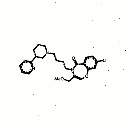 COCC1=COc2cc(Cl)ccc2C(=O)N1CCCCN1CCCC(c2ccccn2)C1